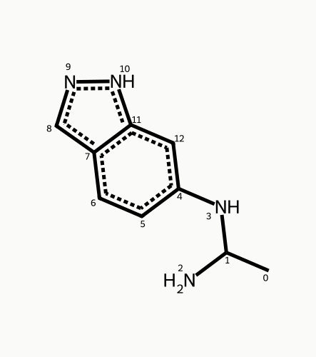 CC(N)Nc1ccc2cn[nH]c2c1